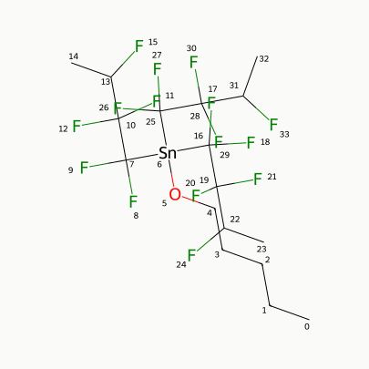 CCCCC[O][Sn]([C](F)(F)C(F)(F)C(C)F)([C](F)(F)C(F)(F)C(C)F)[C](F)(F)C(F)(F)C(C)F